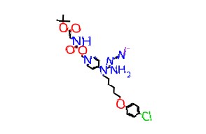 CC(C)(C)OC(=O)CNC(=O)OC[n+]1ccc(N(CCCCCCOc2ccc(Cl)cc2)C(N)=NC#N)cc1.[I-]